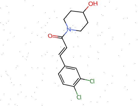 O=C(C=Cc1ccc(Cl)c(Cl)c1)N1CCC(O)CC1